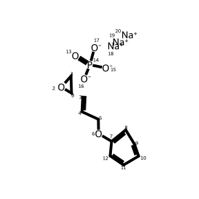 C1CO1.C=CCOc1ccccc1.O=P([O-])([O-])[O-].[Na+].[Na+].[Na+]